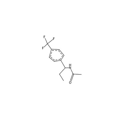 CCC(NC(C)=O)c1ccc(C(F)(F)F)cc1